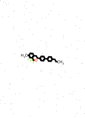 CCCc1ccc(-c2ccc(C3Cc4ccc(C)c(F)c4C(F)(F)O3)cc2)cc1